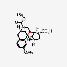 COc1ccc2c(c1)[C@]13CCN(C(=O)OC(C)(C)C)[C@H](C2)[C@]12CC[C@@H]1[C@H]3[C@@H](CN1C(=O)O)C2